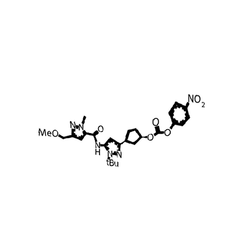 COCc1cc(C(=O)Nc2cc([C@H]3CC[C@@H](OC(=O)Oc4ccc([N+](=O)[O-])cc4)C3)nn2C(C)(C)C)n(C)n1